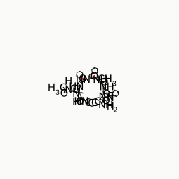 CC(=O)NCC(=O)NC1CC(=O)NCCCCC(C(N)=O)NC(=O)[C@H](Cc2c[nH]c3ccccc23)NC(=O)C(C)NC(=O)C(Cc2ccccc2)NC(=O)C(CC2CCCCC2)NC1=O